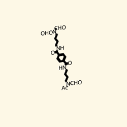 CC(=O)N(C=O)CCCCNC(=O)c1ccc(C(=O)NCCCCN(C=O)C=O)cc1